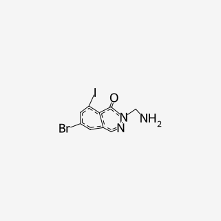 NCn1ncc2cc(Br)cc(I)c2c1=O